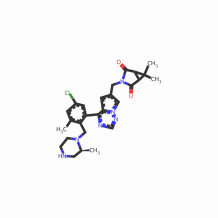 Cc1cc(Cl)cc(-c2ncnn3cc(CN4C(=O)C5C(C4=O)C5(C)C)cc23)c1CN1CCNC[C@@H]1C